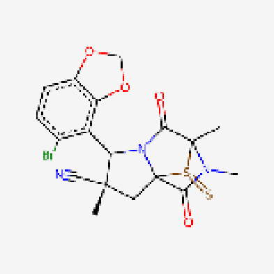 CN1C(=O)C23C[C@](C)(C#N)C(c4c(Br)ccc5c4OCO5)N2C(=O)C1(C)S3=S